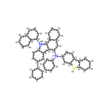 c1ccc(-c2ccc3c(c2)c2c(N(c4ccccc4)c4ccc5c(c4)sc4ccccc45)cc4ccccc4c2n3-c2cccc3ccccc23)cc1